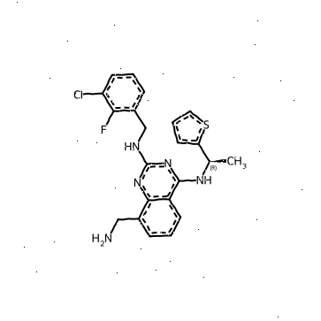 C[C@@H](Nc1nc(NCc2cccc(Cl)c2F)nc2c(CN)cccc12)c1cccs1